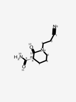 N#CCCN1CCC[C@H](C(N)=O)C1=O